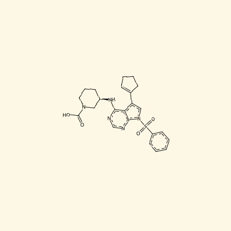 O=C(O)N1CCC[C@@H](Nc2ncnc3c2c(C2=CCCC2)cn3S(=O)(=O)c2ccccc2)C1